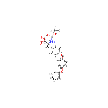 CC(C)(C)OC(=O)N[C@@H](Cc1ccc(Oc2ccc(Oc3ccccc3)cc2)cc1)C(=O)O